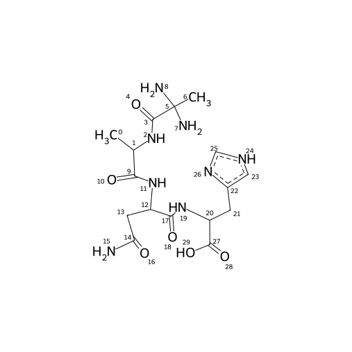 CC(NC(=O)C(C)(N)N)C(=O)NC(CC(N)=O)C(=O)NC(Cc1c[nH]cn1)C(=O)O